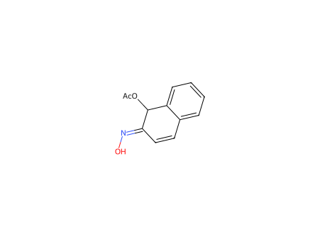 CC(=O)OC1C(=NO)C=Cc2ccccc21